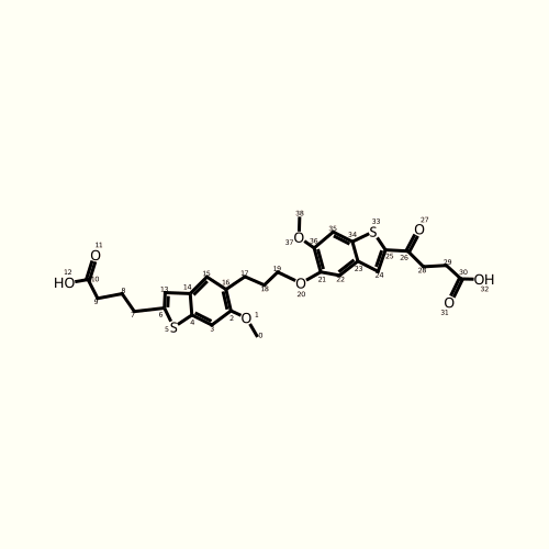 COc1cc2sc(CCCC(=O)O)cc2cc1CCCOc1cc2cc(C(=O)CCC(=O)O)sc2cc1OC